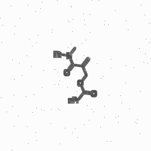 C=C(COC(=O)CCC)C(=O)N(C)CC